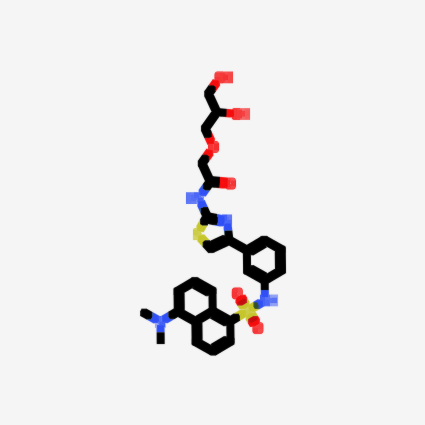 CN(C)c1cccc2c(S(=O)(=O)Nc3cccc(-c4csc(NC(=O)COCC(O)CO)n4)c3)cccc12